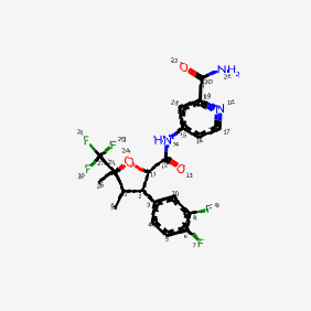 CC1C(c2ccc(F)c(F)c2)C(C(=O)Nc2ccnc(C(N)=O)c2)OC1(C)C(F)(F)F